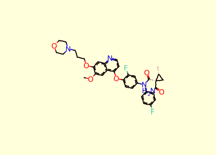 COc1cc2c(Oc3ccc(N(C(=O)[C@@]4(C(N)=O)C[C@H]4C)c4ccc(F)cc4)cc3F)ccnc2cc1OCCCN1CCOCC1